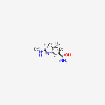 C=C(C)C(=C\C(CC)=C(/N)O)/N=C/NCC